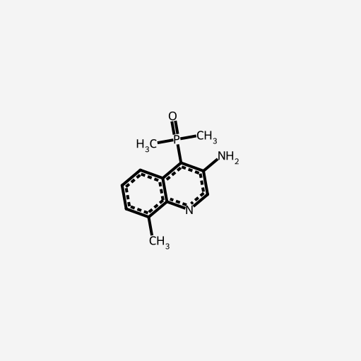 Cc1cccc2c(P(C)(C)=O)c(N)cnc12